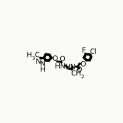 C=C(CCNC(=O)COc1ccc2c(C)n[nH]c2c1)NC(=O)COc1ccc(Cl)c(F)c1